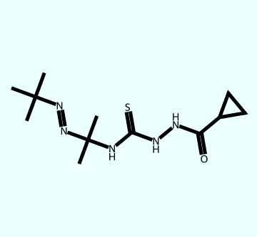 CC(C)(C)N=NC(C)(C)NC(=S)NNC(=O)C1CC1